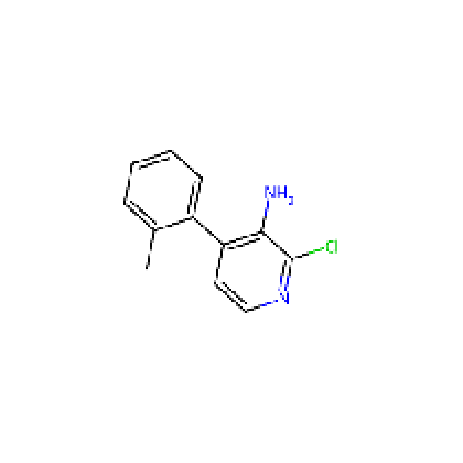 Cc1ccccc1-c1ccnc(Cl)c1N